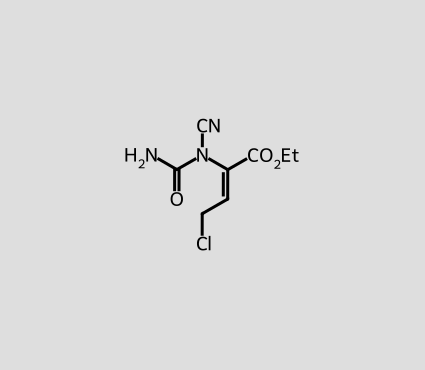 CCOC(=O)/C(=C/CCl)N(C#N)C(N)=O